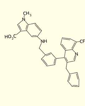 Cn1cc(C(=O)O)c2cc(NCc3cccc(-c4c(Cc5ccccc5)cnc5c(C(F)(F)F)cccc45)c3)ccc21